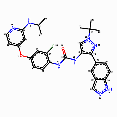 CC(C)Nc1cc(Oc2ccc(NC(=O)Nc3cn(C(C)(C)C)nc3-c3ccc4[nH]ncc4c3)c(F)c2)ccn1